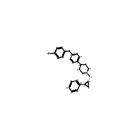 Fc1ccc(Cc2ccc(C3CCN(C[C@@H]4C[C@H]4c4ccccc4)CC3)cc2)cc1